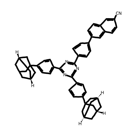 N#Cc1ccc2cc(-c3ccc(-c4nc(-c5ccc(C67CC8C[C@H](C6)C[C@@H](C8)C7)cc5)nc(-c5ccc(C67C[C@H]8C[C@@H](C6)C[C@@H](C7)C8)cc5)n4)cc3)ccc2c1